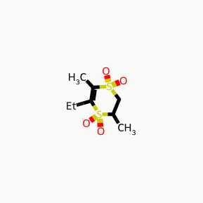 CCC1=C(C)S(=O)(=O)CC(C)S1(=O)=O